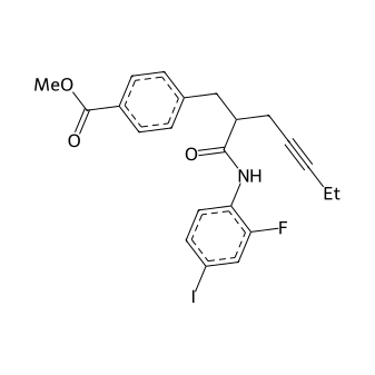 CCC#CCC(Cc1ccc(C(=O)OC)cc1)C(=O)Nc1ccc(I)cc1F